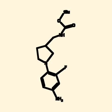 CC(C)(C)OC(=O)NCC1CCN(c2ccc(N)cc2F)C1